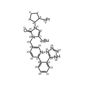 CCCCc1cn(C2CCCC2CCC)c(=O)n1Cc1ccc(-c2ccccc2-c2nnn[nH]2)nc1